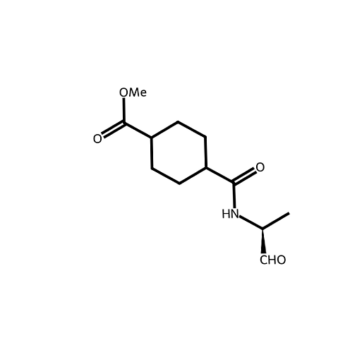 COC(=O)C1CCC(C(=O)N[C@@H](C)C=O)CC1